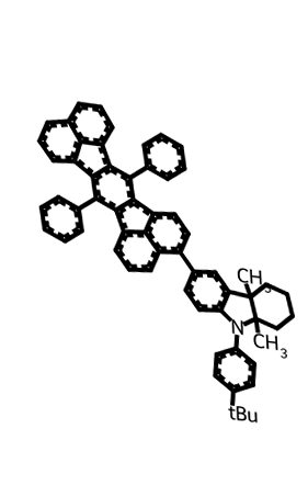 CC(C)(C)c1ccc(N2c3ccc(-c4ccc5c6c(-c7ccccc7)c7c8cccc9cccc(c7c(-c7ccccc7)c6c6cccc4c65)c98)cc3C3(C)CCCCC23C)cc1